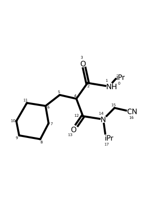 CC(C)NC(=O)C(CC1CCCCC1)C(=O)N(CC#N)C(C)C